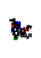 CC(C)Oc1cc(Nc2c(S(=O)(=O)NC3CC3)cnc3cc(Br)ccc23)cc(C(=O)O)c1